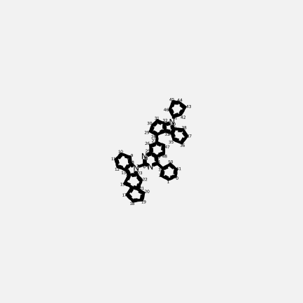 c1ccc(-c2nc(-n3c4ccccc4c4cc5ccccc5cc43)nc3cc(-c4cccc5c4c4ccccc4n5-c4ccccc4)ccc23)cc1